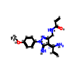 C=CC(=O)NCC1=NN(c2ccc(OC(F)(F)F)cc2)C(=N)/C1=C(/N)C=C